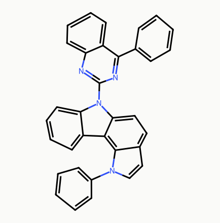 c1ccc(-c2nc(-n3c4ccccc4c4c5c(ccc43)ccn5-c3ccccc3)nc3ccccc23)cc1